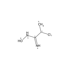 CC(Cl)C(=N)NO